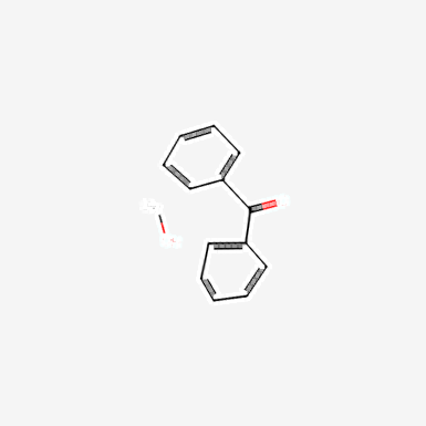 CC(C)(C)O.O=C(c1ccccc1)c1ccccc1